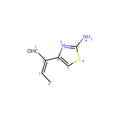 C/C=C(/C=O)c1csc(N)n1